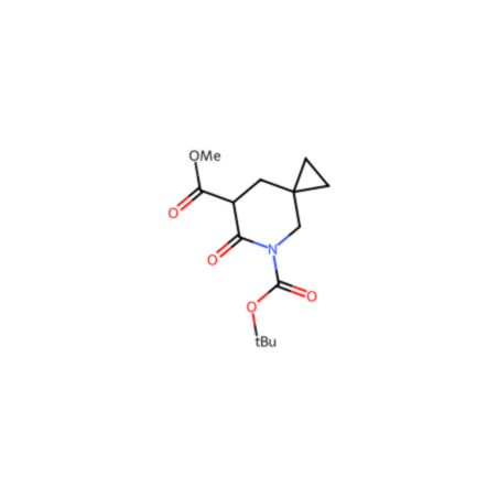 COC(=O)C1CC2(CC2)CN(C(=O)OC(C)(C)C)C1=O